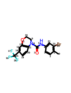 Cc1ccc(NC(=O)N2CCOc3cc(C(F)(F)F)ccc32)cc1Br